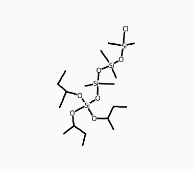 CCC(C)O[Si](OC(C)CC)(OC(C)CC)O[Si](C)(C)O[Si](C)(C)O[Si](C)(C)Cl